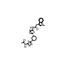 CC(=O)Nc1nnc([C@@H]2CCC[C@@H](c3nnc(NC(=O)Cc4cn(C)c5ccccc45)s3)C2)s1